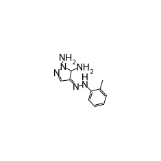 Cc1ccccc1NN=C1C=NN(N)C1N